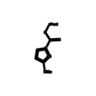 CCCCCOC(=O)n1ccc(OC)n1